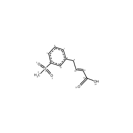 CS(=O)(=O)c1cccc(C/C=C/C(=O)O)c1